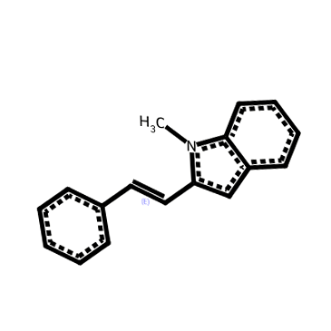 Cn1c(/C=C/c2ccccc2)cc2ccccc21